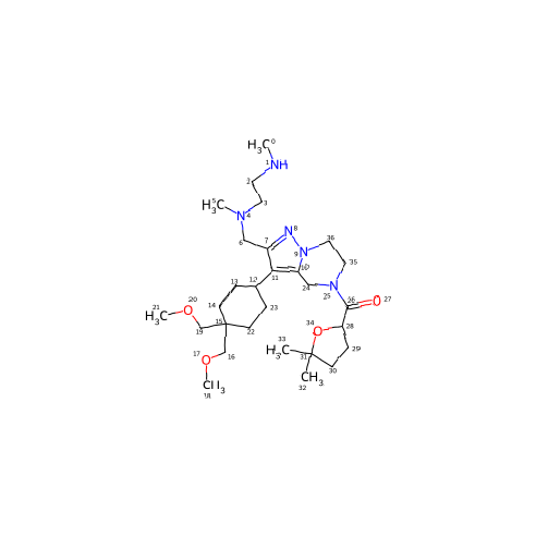 CNCCN(C)Cc1nn2c(c1C1CCC(COC)(COC)CC1)CN(C(=O)C1CCC(C)(C)O1)CC2